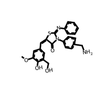 COc1cc(/C=C2/S/C(=N/c3ccccc3)N(c3ccc(CN)cc3)C2=O)cc(CO)c1O